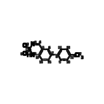 O=S1(=O)N=Cc2cc(-c3ccc(C(F)(F)F)cc3)ccc2N1